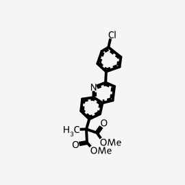 COC(=O)C(C)(C(=O)OC)c1ccc2nc(-c3ccc(Cl)cc3)ccc2c1